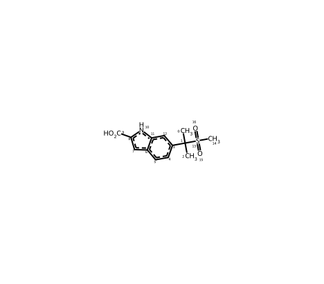 CC(C)(c1ccc2cc(C(=O)O)[nH]c2c1)S(C)(=O)=O